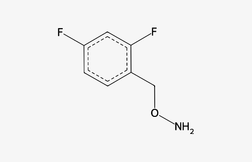 NOCc1ccc(F)cc1F